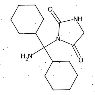 NC(C1CCCCC1)(C1CCCCC1)N1C(=O)CNC1=O